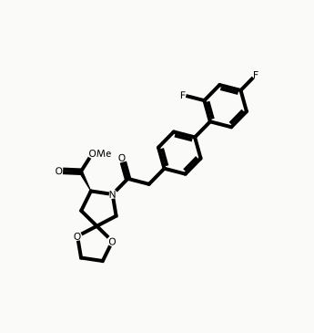 COC(=O)[C@@H]1CC2(CN1C(=O)Cc1ccc(-c3ccc(F)cc3F)cc1)OCCO2